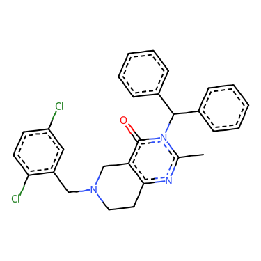 Cc1nc2c(c(=O)n1C(c1ccccc1)c1ccccc1)CN(Cc1cc(Cl)ccc1Cl)CC2